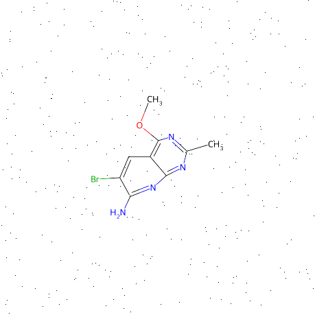 COc1nc(C)nc2nc(N)c(Br)cc12